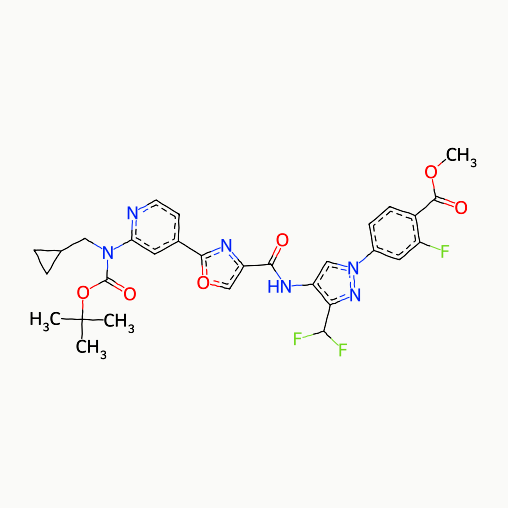 COC(=O)c1ccc(-n2cc(NC(=O)c3coc(-c4ccnc(N(CC5CC5)C(=O)OC(C)(C)C)c4)n3)c(C(F)F)n2)cc1F